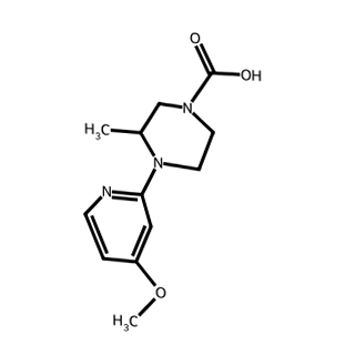 COc1ccnc(N2CCN(C(=O)O)CC2C)c1